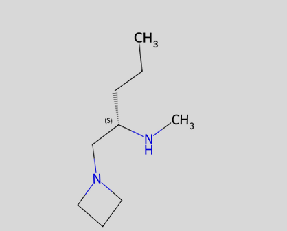 CCC[C@@H](CN1CCC1)NC